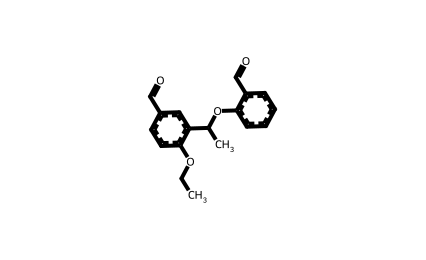 CCOc1ccc(C=O)cc1C(C)Oc1ccccc1C=O